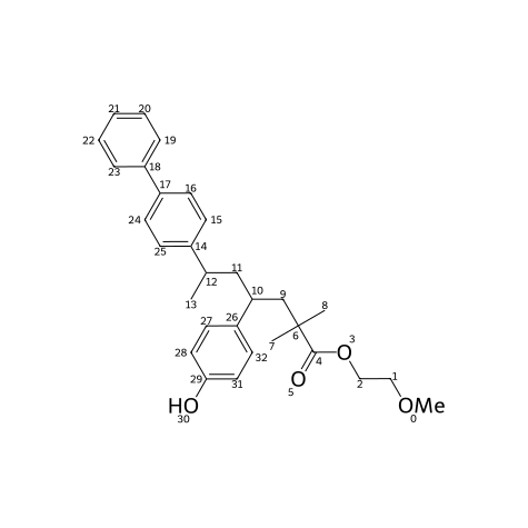 COCCOC(=O)C(C)(C)CC(CC(C)c1ccc(-c2ccccc2)cc1)c1ccc(O)cc1